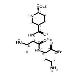 CCCCCCCC[C@H]1CCC(C(=O)N[C@H](C(=O)N[C@@H](CCN)C(=O)C(C)C)[C@H](C)O)CN1